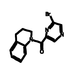 O=C(c1cncc(Br)n1)N1CCCc2ccccc21